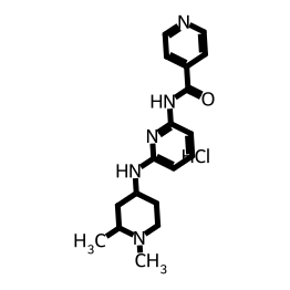 CC1CC(Nc2cccc(NC(=O)c3ccncc3)n2)CCN1C.Cl